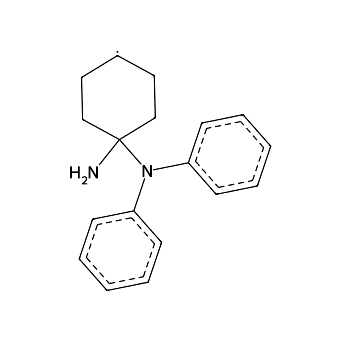 NC1(N(c2ccccc2)c2ccccc2)CC[CH]CC1